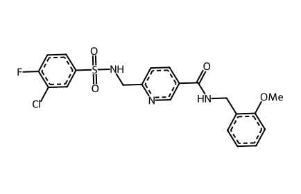 COc1ccccc1CNC(=O)c1ccc(CNS(=O)(=O)c2ccc(F)c(Cl)c2)nc1